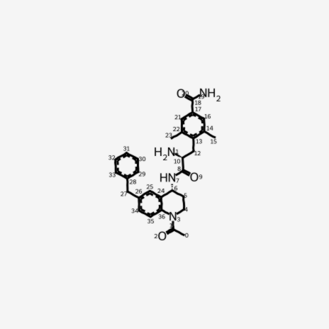 CC(=O)N1CC[C@@H](NC(=O)[C@@H](N)Cc2c(C)cc(C(N)=O)cc2C)c2cc(Cc3ccccc3)ccc21